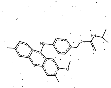 COc1cc2c(Nc3ccc(COC(=O)NC(C)C)cc3)c3ccc(C)cc3nc2cc1C